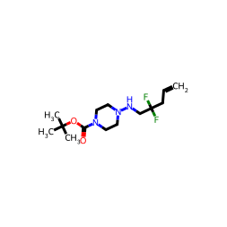 C=CCC(F)(F)CNN1CCN(C(=O)OC(C)(C)C)CC1